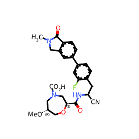 CO[C@H]1CO[C@H](C(=O)NC(C#N)Cc2ccc(-c3ccc4c(c3)CN(C)C4=O)cc2F)CN(C(=O)O)C1